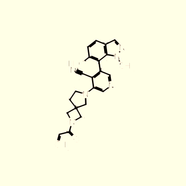 C=CC(=O)N1CC2(CCN(c3cncc(-c4c(C)ccc5cnn(C)c45)c3C#N)C2)C1